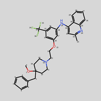 COC1(Cc2ccccc2)CCN(CCOc2cc(Nc3cc(C)nc4ccccc34)cc(C(F)(F)F)c2)CC1